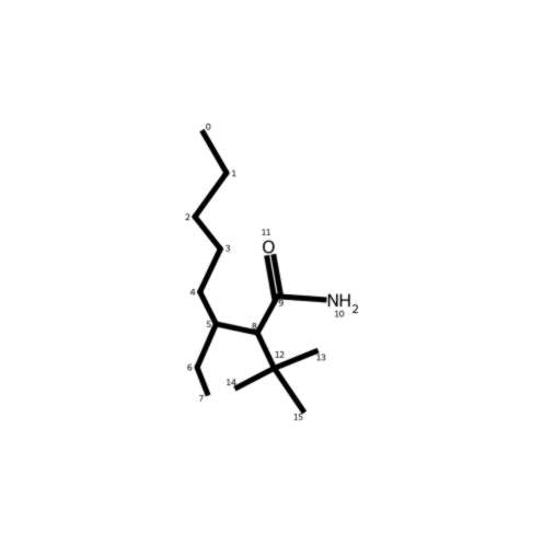 CCCCCC(CC)C(C(N)=O)C(C)(C)C